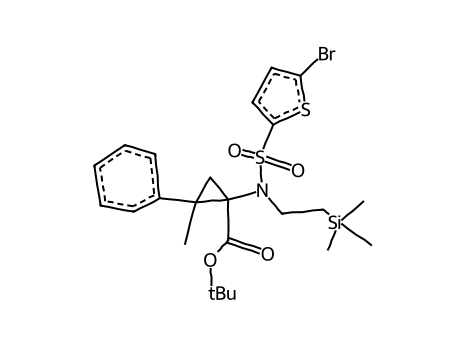 CC(C)(C)OC(=O)C1(N(CC[Si](C)(C)C)S(=O)(=O)c2ccc(Br)s2)CC1(C)c1ccccc1